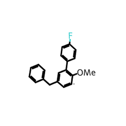 COc1[c]cc(Cc2ccccc2)cc1-c1ccc(F)cc1